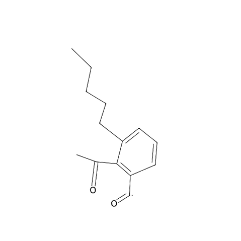 CCCCCc1cccc([C]=O)c1C(C)=O